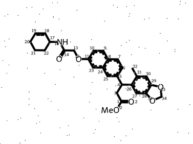 COC(=O)CC(c1ccc2ccc(OCC(=O)NC3C=CCCC3)cc2c1)c1cc2c(cc1C)OCO2